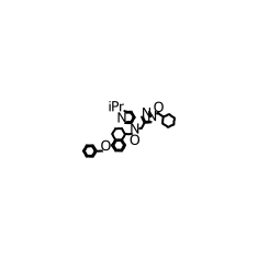 CC(C)c1ccc(N(Cc2cnn(C(=O)C3CCCCC3)c2)C(=O)C2CCCc3c(OCc4ccccc4)cccc32)cn1